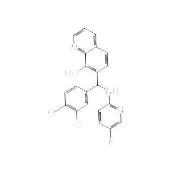 Oc1c(C(Nc2ccc(F)cn2)c2ccc(Cl)c(Cl)c2)ccc2cccnc12